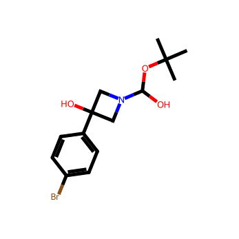 CC(C)(C)OC(O)N1CC(O)(c2ccc(Br)cc2)C1